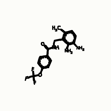 Cc1ccc(N)c(N)c1CNC(=O)c1ccc(OC(F)(F)F)cc1